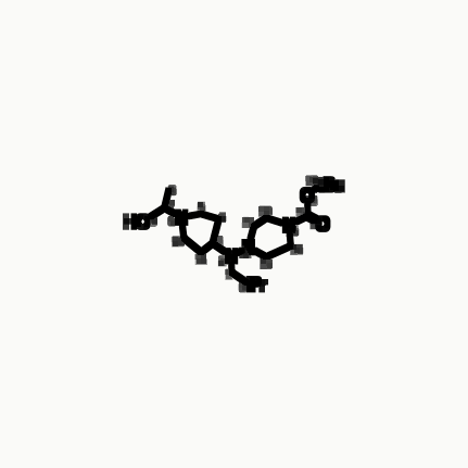 CC(C)CN(C1CCN(C(C)O)CC1)N1CCN(C(=O)OC(C)(C)C)CC1